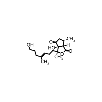 C/C(=C\CC[C@@]1(C)OC(=O)[C@H]2[C@@H](C)CC(=O)[C@]21O)CCCO